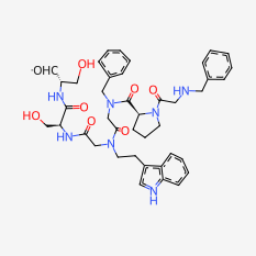 O=[C][C@H](CO)NC(=O)[C@H](CO)NC(=O)CN(CCc1c[nH]c2ccccc12)C(=O)CN(Cc1ccccc1)C(=O)[C@@H]1CCCN1C(=O)CNCc1ccccc1